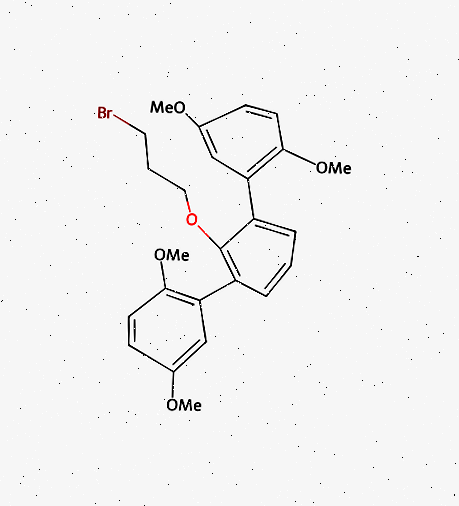 COc1ccc(OC)c(-c2cccc(-c3cc(OC)ccc3OC)c2OCCCBr)c1